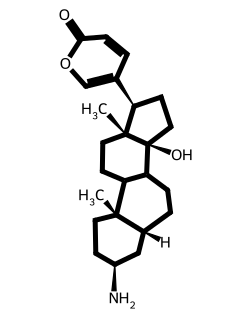 C[C@]12CC[C@H](N)C[C@H]1CCC1C2CC[C@]2(C)[C@@H](c3ccc(=O)oc3)CC[C@]12O